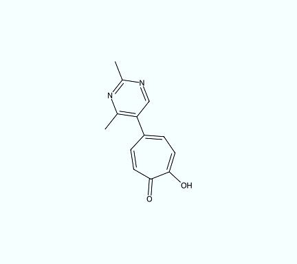 Cc1ncc(-c2ccc(O)c(=O)cc2)c(C)n1